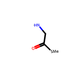 CSC(=O)C[NH]